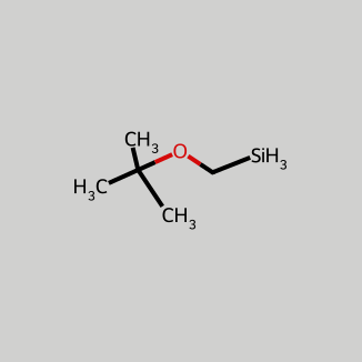 CC(C)(C)OC[SiH3]